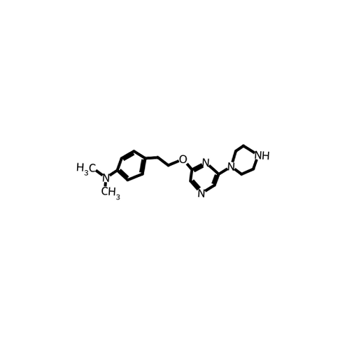 CN(C)c1ccc(CCOc2cncc(N3CCNCC3)n2)cc1